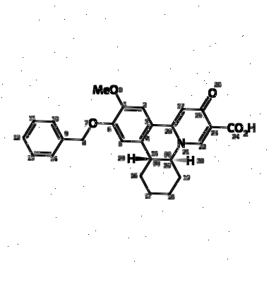 COc1cc2c(cc1OCc1ccccc1)[C@H]1CCCC[C@@H]1n1cc(C(=O)O)c(=O)cc1-2